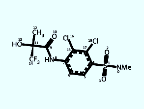 CNS(=O)(=O)c1ccc(NC(=O)[C@@](C)(O)C(F)(F)F)c(Cl)c1Cl